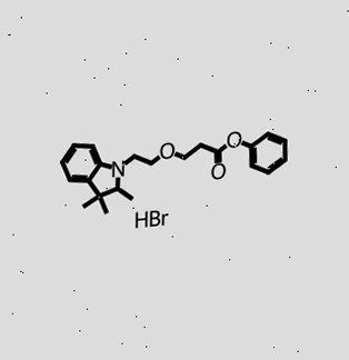 Br.CC1N(CCOCCC(=O)Oc2ccccc2)c2ccccc2C1(C)C